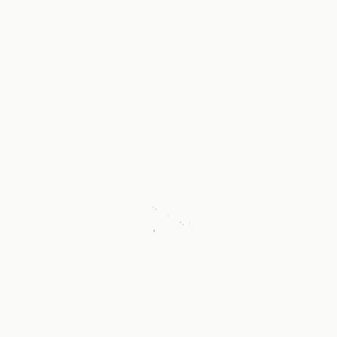 CCCCCCCCCCCCCCCC(N)(N)CCC